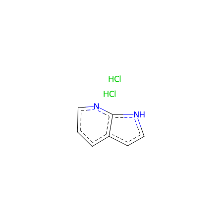 Cl.Cl.c1cnc2[nH]ccc2c1